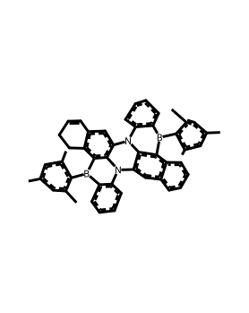 Cc1cc(C)c(B2c3ccccc3N3c4cc5ccccc5c5c4N(c4ccccc4B5c4c(C)cc(C)cc4C)c4cc5c(c2c43)CCC=C5)c(C)c1